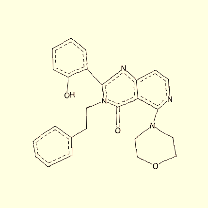 O=c1c2c(N3CCOCC3)nccc2nc(-c2ccccc2O)n1CCc1ccccc1